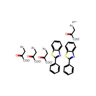 CC(=O)CC(=O)C(=O)[O-].CC(=O)CC(=O)C(=O)[O-].CC(=O)CC(=O)C(=O)[O-].CC(=O)CC(=O)C(=O)[O-].[Ir+4].c1ccc(-c2nc3ccccc3s2)cc1.c1ccc(-c2nc3ccccc3s2)cc1